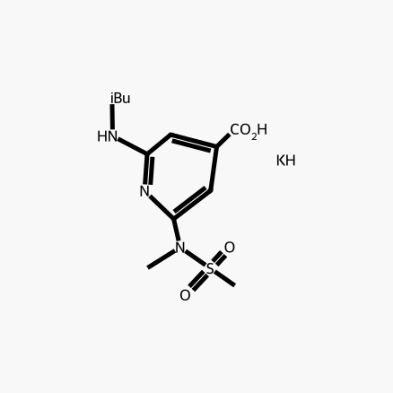 CCC(C)Nc1cc(C(=O)O)cc(N(C)S(C)(=O)=O)n1.[KH]